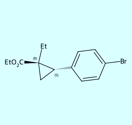 CCOC(=O)[C@]1(CC)C[C@H]1c1ccc(Br)cc1